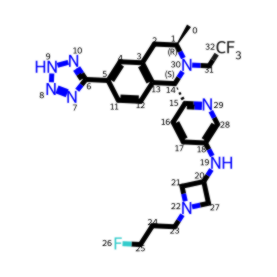 C[C@@H]1Cc2cc(-c3nn[nH]n3)ccc2[C@@H](c2ccc(NC3CN(CCCF)C3)cn2)N1CC(F)(F)F